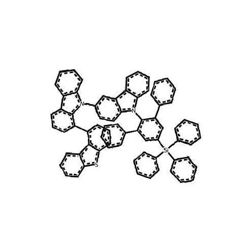 c1ccc(-c2cc([Si](c3ccccc3)(c3ccccc3)c3ccccc3)cc(-c3ccccc3)c2-n2c3ccccc3c3cc(-n4c5ccccc5c5cccc(-c6cccc7sc8ccccc8c67)c54)ccc32)cc1